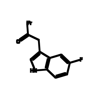 CC(C)C(=O)Cc1c[nH]c2ccc(F)cc12